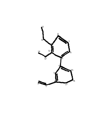 C=CC1=CC(c2cccc(CC)c2CC)=CC[CH]1